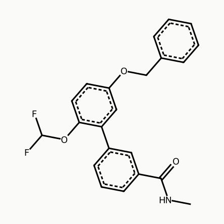 CNC(=O)c1cccc(-c2cc(OCc3ccccc3)ccc2OC(F)F)c1